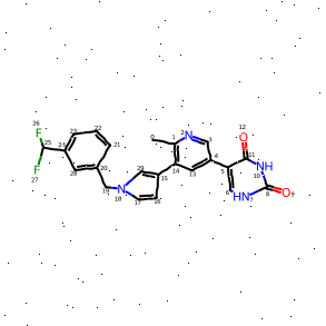 Cc1ncc(-c2c[nH]c(=O)[nH]c2=O)cc1-c1ccn(Cc2cccc(C(F)F)c2)c1